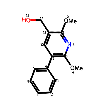 COc1nc(OC)c(-c2ccccc2)cc1CO